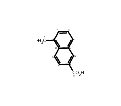 [CH2]c1cccc2cc(C(=O)O)ccc12